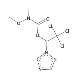 CON(C)C(=O)OC(n1cncn1)C(Cl)(Cl)Cl